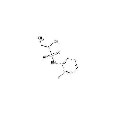 CCN(C)S(=O)(=O)Nc1ccccc1F